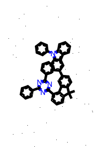 CC1(C)c2ccc(-c3ccc4c(c3)c3ccccc3n4-c3ccccc3)cc2-c2c(-c3nc(-c4ccccc4)nc(-c4ccccc4)n3)cccc21